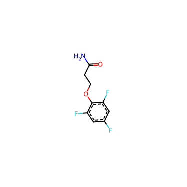 NC(=O)CCOc1c(F)cc(F)cc1F